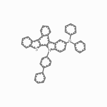 c1ccc(-c2ccc(-n3c4ccc(N(c5ccccc5)c5ccccc5)cc4c4c5ccccc5c5c6ccccc6sc5c43)cc2)cc1